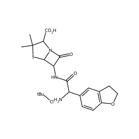 CC(C)(C)Cl.CC1(C)SC2C(NC(=O)C(N)c3ccc4c(c3)CCO4)C(=O)N2C1C(=O)O